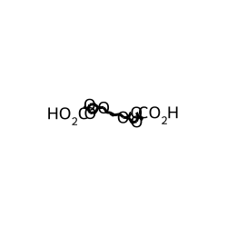 CC1(C(=O)O)OCC(OC/C=C/COC2COC(C)(C(=O)O)OC2)CO1